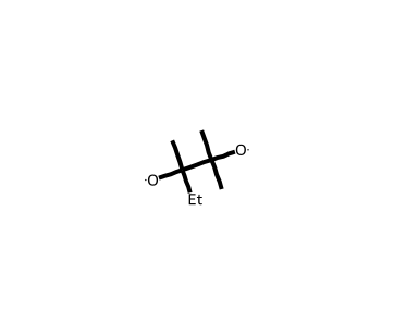 CCC(C)([O])C(C)(C)[O]